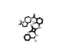 CC[C@@H](Nc1c(Nc2cccc(C(=O)N3CCN4C(CCS4(=O)=O)C3)c2O)c(=O)c1=O)c1ccccc1